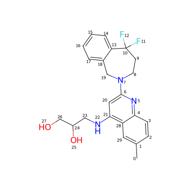 Cc1ccc2nc(N3CCC(F)(F)c4ccccc4C3)cc(NCC(O)CO)c2c1